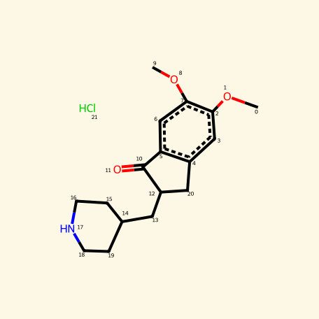 COc1cc2c(cc1OC)C(=O)C(CC1CCNCC1)C2.Cl